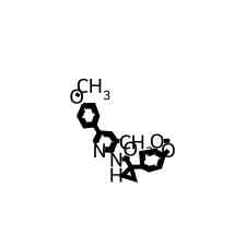 COc1ccc(-c2cnc(NC(=O)C3(c4ccc5c(c4)OCO5)CC3)c(C)c2)cc1